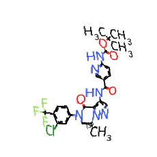 C[C@H]1CN(c2ccc(C(F)(F)F)c(Cl)c2)C(=O)c2c(NC(=O)c3ccc(NC(=O)OC(C)(C)C)nc3)cnn21